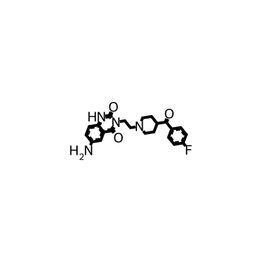 Nc1ccc2[nH]c(=O)n(CCN3CCC(C(=O)c4ccc(F)cc4)CC3)c(=O)c2c1